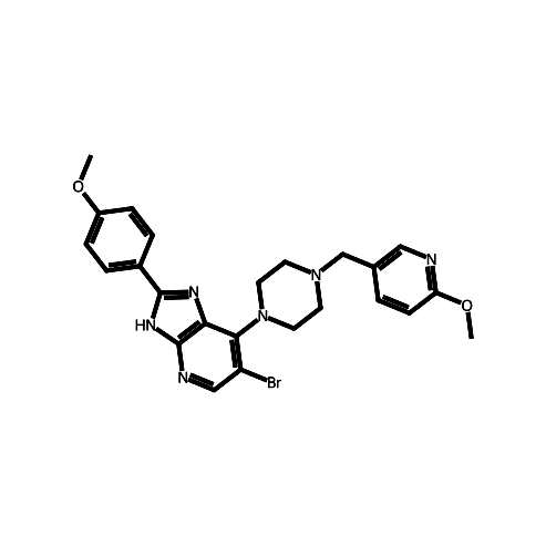 COc1ccc(-c2nc3c(N4CCN(Cc5ccc(OC)nc5)CC4)c(Br)cnc3[nH]2)cc1